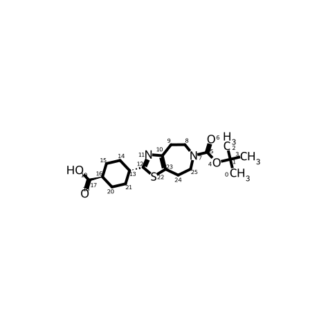 CC(C)(C)OC(=O)N1CCc2nc([C@H]3CC[C@H](C(=O)O)CC3)sc2CC1